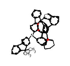 CC1(C)c2ccccc2-c2ccc(N(c3ccc4c(c3)C3(c5ccccc5-4)c4ccc(C5CCCCC5)cc4-c4cccc5cccc3c45)c3ccccc3-c3ccccc3)cc21